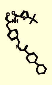 C=C(/C=N\Cc1ccc(C[C@@H](C=O)NC(=O)c2ccc(C(C)(C)C)s2)cc1)C1=CCC(C2CCCCC2)CC1